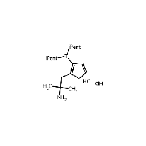 CCC[CH](C)[Ti]([C]1=C(CC(C)(C)N)CC=C1)[CH](C)CCC.Cl.Cl